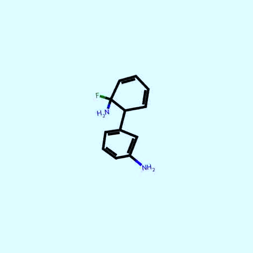 Nc1cccc(C2C=CC=CC2(N)F)c1